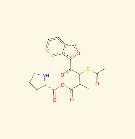 CC(=O)SC(C(=O)c1occ2ccccc12)C(C)C(=O)OC(=O)[C@@H]1CCCN1